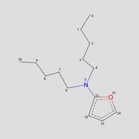 CCCCCN(CCCCC)c1ccco1